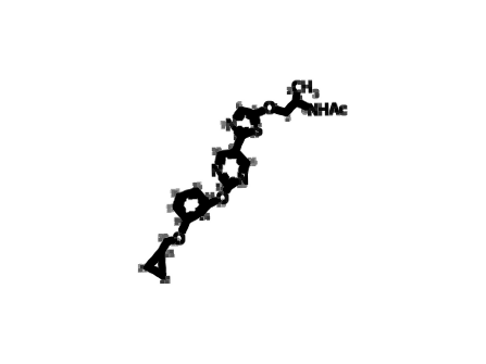 CC(=O)NC(C)COc1cnc(-c2cnc(Oc3cccc(OCC4CC4)c3)nc2)s1